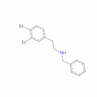 CCc1ccc(CCNCc2ccccc2)cc1CC